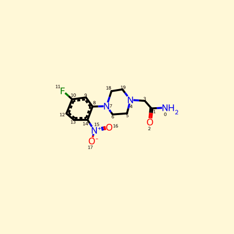 NC(=O)CN1CCN(c2cc(F)ccc2[N+](=O)[O-])CC1